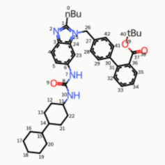 CCCCc1nc2ccc(NC(=O)NC3CCC(C4CCCCC4)CC3)cc2n1Cc1ccc(-c2ccccc2C(=O)OC(C)(C)C)cc1